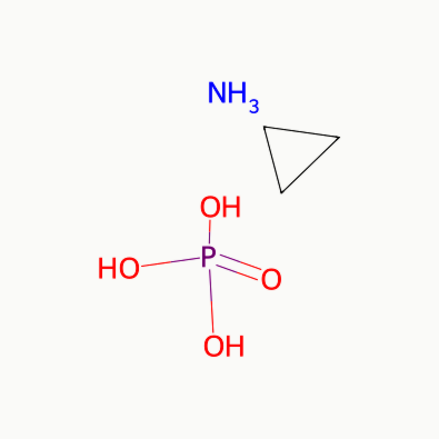 C1CC1.N.O=P(O)(O)O